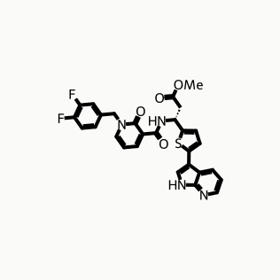 COC(=O)C[C@@H](NC(=O)c1cccn(Cc2ccc(F)c(F)c2)c1=O)c1ccc(-c2c[nH]c3ncccc23)s1